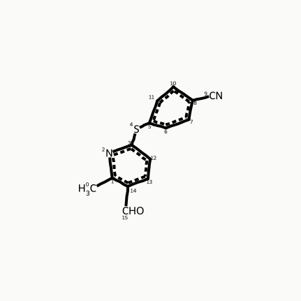 Cc1nc(Sc2ccc(C#N)cc2)ccc1C=O